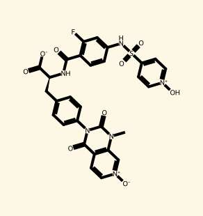 Cn1c(=O)n(-c2ccc(C[C@H](NC(=O)c3ccc(NS(=O)(=O)c4cc[n+](O)cc4)cc3F)C(=O)[O-])cc2)c(=O)c2cc[n+]([O-])cc21